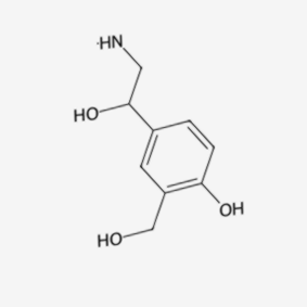 [NH]CC(O)c1ccc(O)c(CO)c1